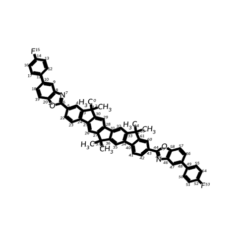 CC1(C)c2cc(-c3nc4cc(-c5ccc(F)cc5)ccc4o3)ccc2-c2cc3c(cc21)-c1cc2c(cc1C3(C)C)-c1ccc(-c3nc4cc(-c5ccc(F)cc5)ccc4o3)cc1C2(C)C